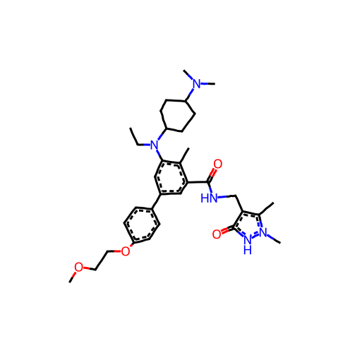 CCN(c1cc(-c2ccc(OCCOC)cc2)cc(C(=O)NCc2c(C)n(C)[nH]c2=O)c1C)C1CCC(N(C)C)CC1